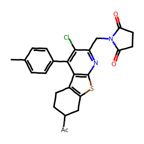 CC(=O)C1CCc2c(sc3nc(CN4C(=O)CCC4=O)c(Cl)c(-c4ccc(C)cc4)c23)C1